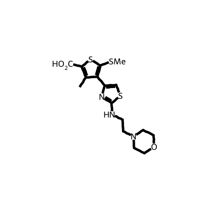 CSc1sc(C(=O)O)c(C)c1-c1csc(NCCN2CCOCC2)n1